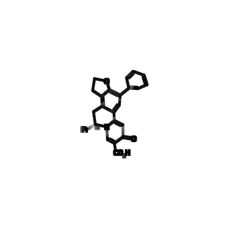 CC(C)[C@@H]1Cc2c(cc(-c3ccccc3)c3c2CCO3)-c2cc(=O)c(C(=O)O)cn21